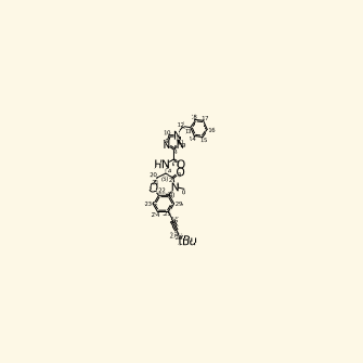 CN1C(=O)[C@@H](NC(=O)c2ncn(Cc3ccccc3)n2)COc2ccc(C#CC(C)(C)C)cc21